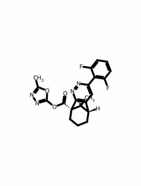 Cc1nnc(OC(=O)[C@]23CCC[C@@H](c4cc(-c5c(F)cccc5F)nnc42)C3(C)C)o1